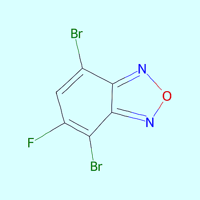 Fc1cc(Br)c2nonc2c1Br